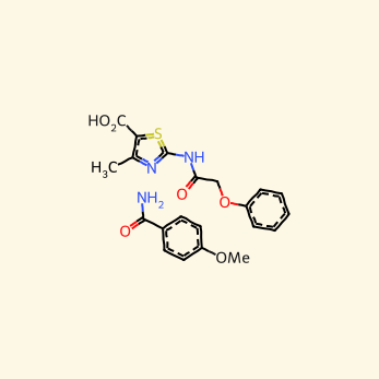 COc1ccc(C(N)=O)cc1.Cc1nc(NC(=O)COc2ccccc2)sc1C(=O)O